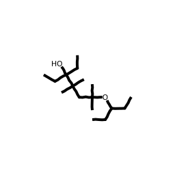 CCC(CC)OC(C)(C)CC(C)(C)C(O)(CC)CC